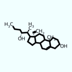 C=C[C@]12CCC3C(CC=C4C[C@@H](O)CC[C@@]43C)C1CCC2[C@H](C)[C@H](O)CCC